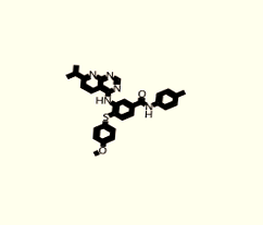 COc1ccc(Sc2ccc(C(=O)Nc3ccc(C)cc3)cc2Nc2ncnc3nc(C(C)C)ccc23)cc1